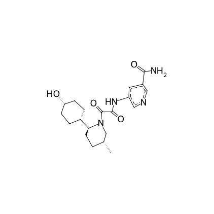 C[C@@H]1CC[C@@H]([C@H]2CC[C@@H](O)CC2)N(C(=O)C(=O)Nc2cncc(C(N)=O)c2)C1